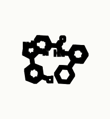 O=C(Nc1ccccc1C1CCCCC1)c1ccn2ncc(-c3cccc(Cl)c3)c2n1